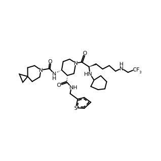 O=C(NCc1cccs1)[C@H]1CN(C(=O)[C@@H](CCCCNCC(F)(F)F)NC2CCCCC2)CC[C@H]1NC(=O)N1CCC2(CC1)CC2